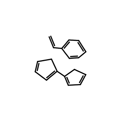 C1=CCC(C2=CC=CC2)=C1.C=Cc1ccccc1